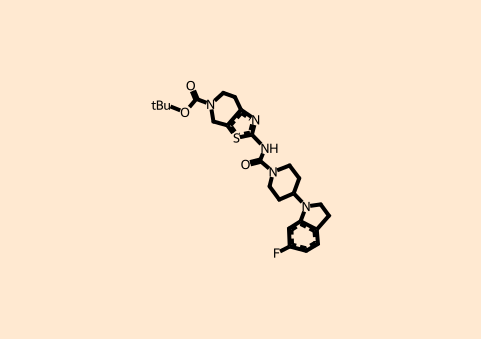 CC(C)(C)OC(=O)N1CCc2nc(NC(=O)N3CCC(N4CCc5ccc(F)cc54)CC3)sc2C1